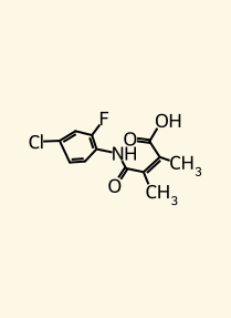 CC(C(=O)O)=C(C)C(=O)Nc1ccc(Cl)cc1F